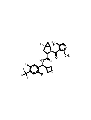 Cc1cnn(C)c1C(=O)N1[C@@H](C(=O)N[C@@H](c2cc(F)c(C(F)(F)F)cc2F)C2COC2)C[C@H]2C[C@H]21